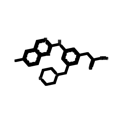 CNC(=O)Cc1cc(CN2CCOCC2)cc(Nc2ncc3cc(C)ccc3n2)c1